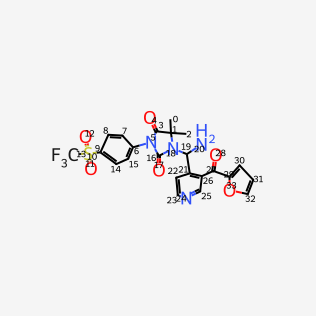 CC1(C)C(=O)N(c2ccc(S(=O)(=O)C(F)(F)F)cc2)C(=O)N1C(N)c1ccncc1C(=O)c1ccco1